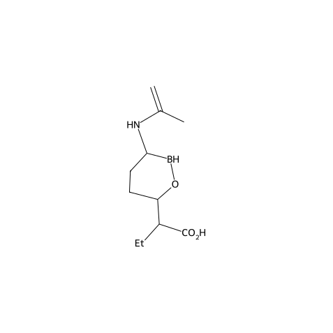 C=C(C)NC1BOC(C(CC)C(=O)O)CC1